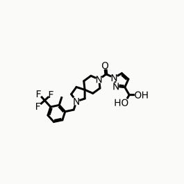 Cc1c(CN2CCC3(CCN(C(=O)n4ccc(C(O)O)n4)CC3)C2)cccc1C(F)(F)F